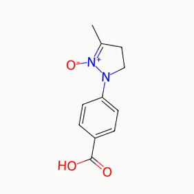 CC1=[N+]([O-])N(c2ccc(C(=O)O)cc2)CC1